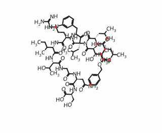 CCC(C)[C@H](NC(=O)[C@@H](CCCNC(=N)N)NC(=O)[C@@](CC(C)C)(C(=O)[C@@H](N)Cc1cccc(N)c1)N(C(=O)[C@H](CC(C)C)NC(=O)[C@@H](CC(C)C)NC(=O)OCc1ccccc1)C(=O)[C@@H](N)[C@H](O)C(C)C)C(=O)N[C@H](C(=O)NCC(=O)N[C@@H](CC(N)=O)C(=O)N[C@@H](CO)C(=O)O)C(C)O